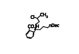 CCCCCCCCCCCCCC(CCC(C)Cl)c1ccccc1C(=O)O